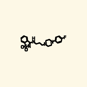 O=S1(=O)N=C(NCCCN2CCN(c3ccc(F)cc3)CC2)c2ccccc21